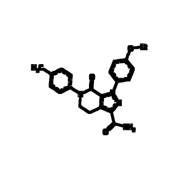 CCOc1ccc(-n2nc(C(N)=O)c3c2C(=O)N(c2ccc(C)cc2)CC3)cc1